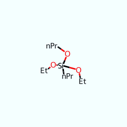 CCCO[Si](CCC)(OCC)OCC